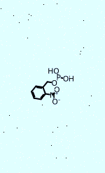 O=[N+]([O-])c1ccccc1COP(O)O